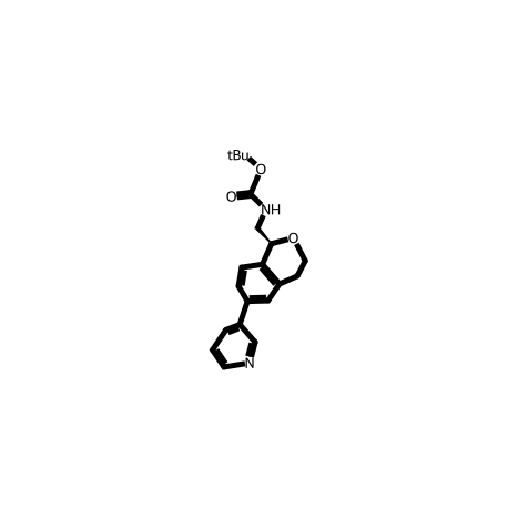 CC(C)(C)OC(=O)NC[C@H]1OCCc2cc(-c3cccnc3)ccc21